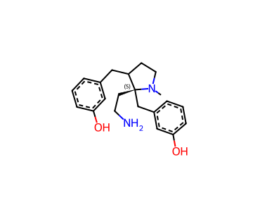 CN1CCC(Cc2cccc(O)c2)[C@@]1(CCN)Cc1cccc(O)c1